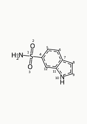 NS(=O)(=O)c1ccc2cc[nH]c2c1